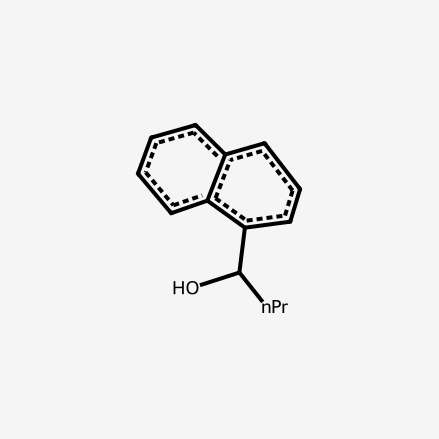 CCCC(O)c1cccc2ccccc12